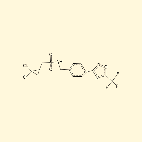 O=S(=O)(CC1CC1(Cl)Cl)NCc1ccc(-c2noc(C(F)(F)F)n2)cc1